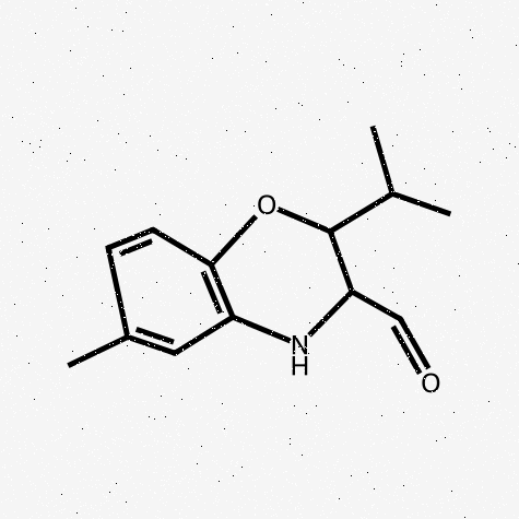 Cc1ccc2c(c1)NC(C=O)C(C(C)C)O2